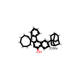 COc1cc2c(O)cc3c(c2cc1C12CC4CC(CC(C4)C1)C2)-c1ccccc1C31CCCCCCC1